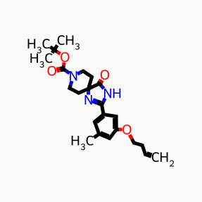 C=CCCOc1cc(C)cc(C2=NC3(CCN(C(=O)OC(C)(C)C)CC3)C(=O)N2)c1